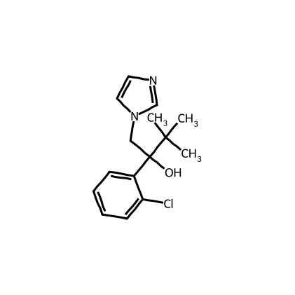 CC(C)(C)C(O)(Cn1ccnc1)c1ccccc1Cl